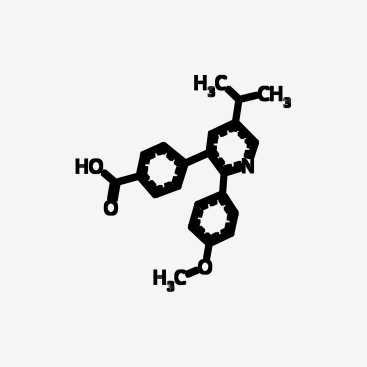 COc1ccc(-c2ncc(C(C)C)cc2-c2ccc(C(=O)O)cc2)cc1